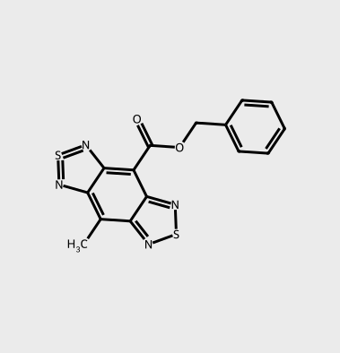 Cc1c2c(c(C(=O)OCc3ccccc3)c3nsnc13)N=S=N2